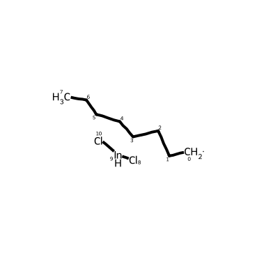 [CH2]CCCCCCC.[Cl][InH][Cl]